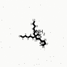 CCCCCCC1(CCCCCC)C=C(c2cccs2)SC1N